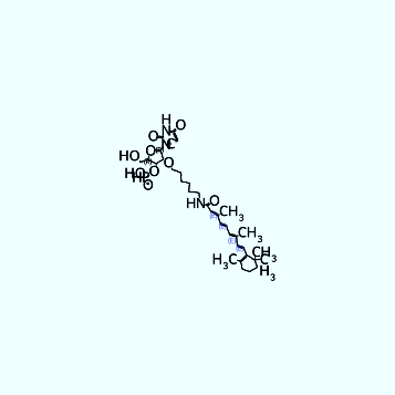 CC1=C(/C=C/C(C)=C/C=C/C(C)=C/C(=O)NCCCCCCOC2C(O[PH](=O)O)[C@@H](CO)O[C@H]2n2ccc(=O)[nH]c2=O)C(C)(C)CCC1